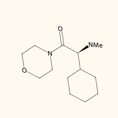 CN[C@H](C(=O)N1CCOCC1)C1CCCCC1